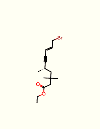 CCOC(=O)CC(C)(C)C[C@H](C)C#C/C=C/CBr